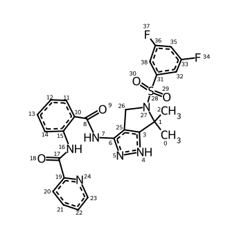 CC1(C)c2[nH]nc(NC(=O)c3ccccc3NC(=O)c3ccccn3)c2CN1S(=O)(=O)c1cc(F)cc(F)c1